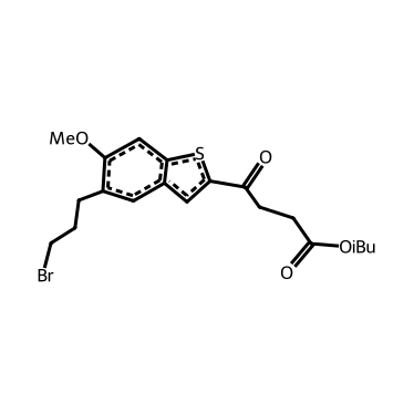 COc1cc2sc(C(=O)CCC(=O)OCC(C)C)cc2cc1CCCBr